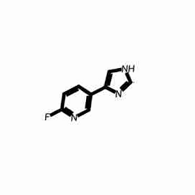 Fc1ccc(-c2c[nH][c]n2)cn1